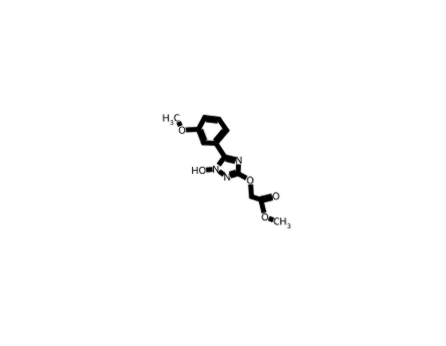 COC(=O)COc1nc(-c2cccc(OC)c2)n(O)n1